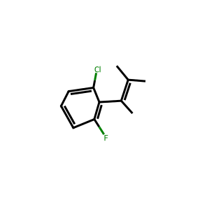 CC(C)=C(C)c1c(F)cccc1Cl